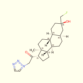 C[C@]12CC[C@H]3[C@@H](CC[C@@H]4C[C@@](O)(CF)CC[C@@H]43)[C@@H]1CC[C@@H]2C(=O)Cn1ccnn1